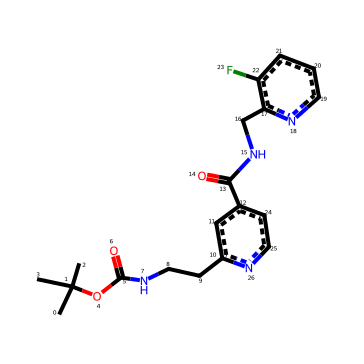 CC(C)(C)OC(=O)NCCc1cc(C(=O)NCc2ncccc2F)ccn1